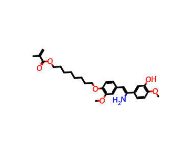 C=C(C)C(=O)OCCCCCCCCOc1ccc(/C=C(\N)c2ccc(OC)c(O)c2)cc1OC